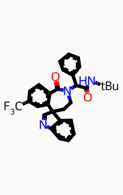 CC(C)(C)NC(=O)C(c1ccccc1)N1CCC2(C=Nc3ccccc32)c2cc(C(F)(F)F)ccc2C1=O